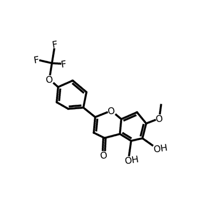 COc1cc2oc(-c3ccc(OC(F)(F)F)cc3)cc(=O)c2c(O)c1O